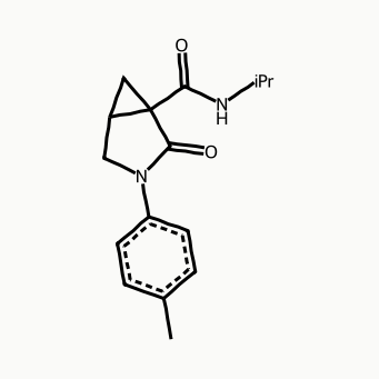 Cc1ccc(N2CC3CC3(C(=O)NC(C)C)C2=O)cc1